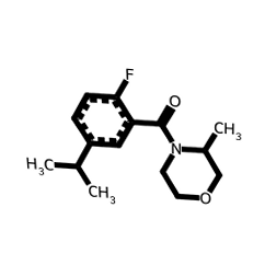 CC(C)c1ccc(F)c(C(=O)N2CCOCC2C)c1